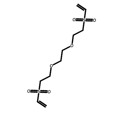 C=CS(=O)(=O)CCOCCOCCS(=O)(=O)C=C